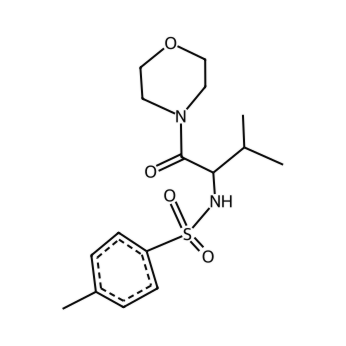 Cc1ccc(S(=O)(=O)NC(C(=O)N2CCOCC2)C(C)C)cc1